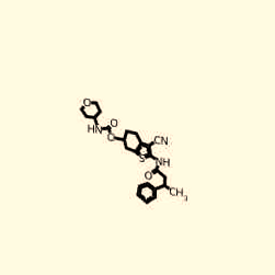 CC(CC(=O)Nc1sc2c(c1C#N)CCC(OC(=O)NC1CCOCC1)C2)c1ccccc1